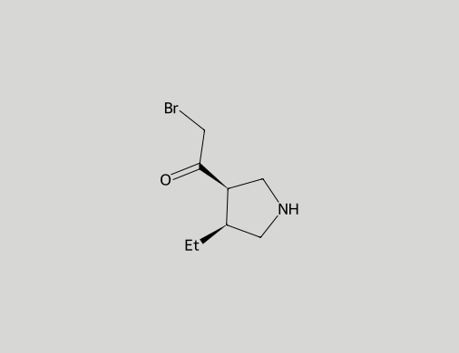 CC[C@@H]1CNC[C@@H]1C(=O)CBr